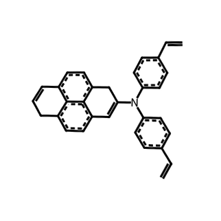 C=Cc1ccc(N(C2=Cc3ccc4c5c(ccc(c35)C2)C=CC4)c2ccc(C=C)cc2)cc1